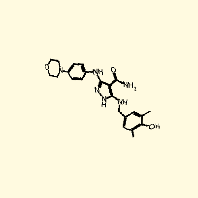 Cc1cc(CNc2[nH]nc(Nc3ccc(N4CCOCC4)cc3)c2C(N)=O)cc(C)c1O